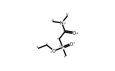 CCOP(C)(=O)CC(=O)N(C)C